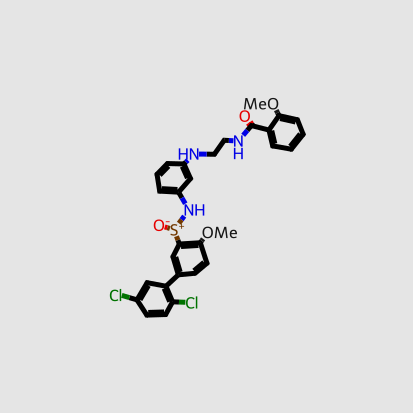 COc1ccccc1C(=O)NCCNc1cccc(N[S+]([O-])c2cc(-c3cc(Cl)ccc3Cl)ccc2OC)c1